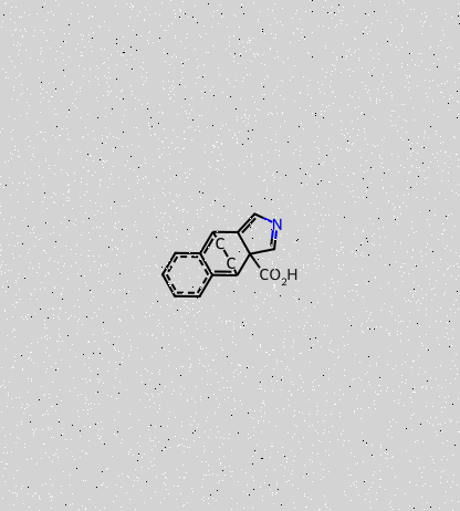 O=C(O)C12C=NC=C1C1=c3ccccc3=C2CC1